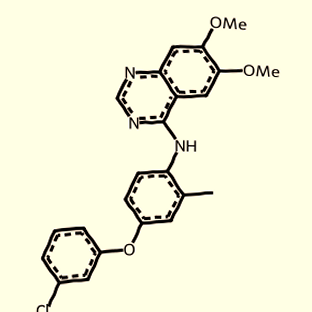 COc1cc2ncnc(Nc3ccc(Oc4cccc(Cl)c4)cc3C)c2cc1OC